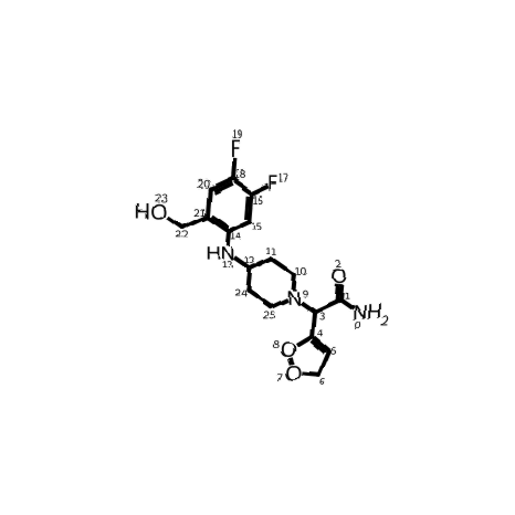 NC(=O)C(C1=CCOO1)N1CCC(Nc2cc(F)c(F)cc2CO)CC1